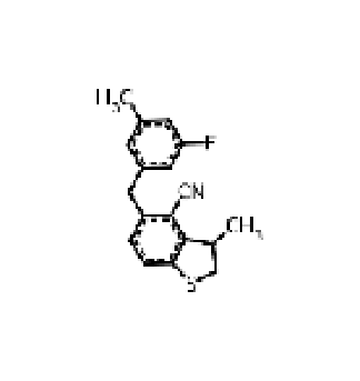 Cc1cc(F)cc(Cc2ccc3c(c2C#N)C(C)CS3)c1